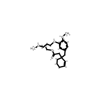 CCOC(=O)CC1(Cc2ccc(OC)c(OCCCOC)c2)C=CCCC1